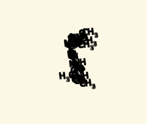 COC(=O)N[C@H](C(=O)N1CCCC1c1cnc(-c2cn3cc(-c4cnc([C@@H]5CCCN5C(=O)[C@@H](NC(=O)OC)C(C)C)[nH]4)sc3n2)[nH]1)C(C)C